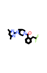 Cc1cc(C)nc(N2CC3CC2CN(C(=O)c2ccccc2CC(F)F)C3)n1